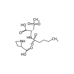 CCCCS(=O)(=O)N[C@@H](CS(C)(=O)=O)C(=O)O.O=C(O)C1CCN1